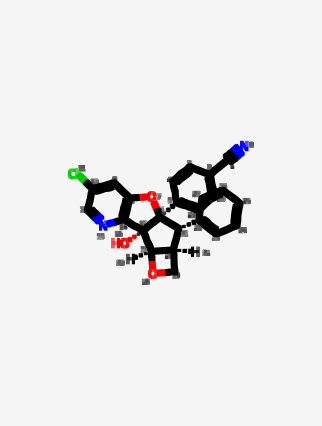 N#Cc1ccc([C@@]23Oc4cc(Cl)cnc4[C@]2(O)[C@@H]2OC[C@@H]2[C@H]3c2ccccc2)cc1